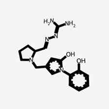 NC(N)=N/N=C/C1CCCN1Cc1cc(O)n(-c2ccccc2O)c1